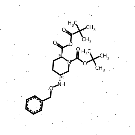 CC(C)(C)OC(=O)N1C[C@H](NOCc2ccccc2)CC[C@H]1C(=O)OC(=O)C(C)(C)C